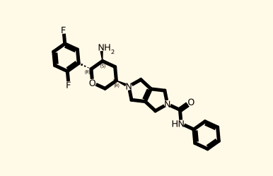 N[C@H]1C[C@@H](N2CC3=C(CN(C(=O)Nc4ccccc4)C3)C2)CO[C@@H]1c1cc(F)ccc1F